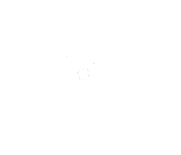 CCCCCCC(C)(C)c1cc(O)c(C2CCCC(C)(C)C2)c(O)c1